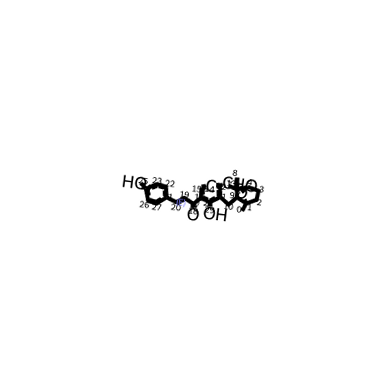 CC12CCC(O1)C(C)(C)C2Cc1c(C=O)ccc(C(=O)/C=C/c2ccc(O)cc2)c1O